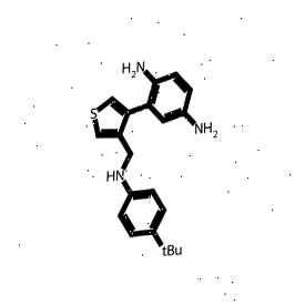 CC(C)(C)c1ccc(NCc2cscc2-c2cc(N)ccc2N)cc1